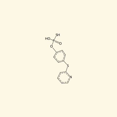 O=P(O)(S)Oc1ccc(Sc2ccccn2)cc1